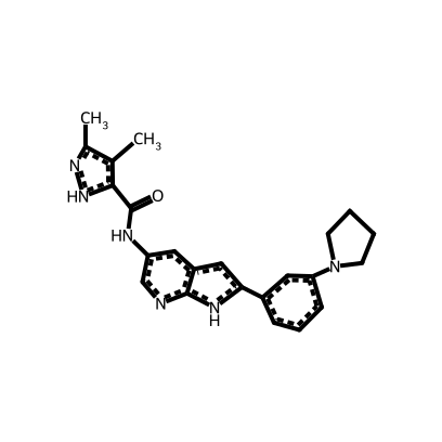 Cc1n[nH]c(C(=O)Nc2cnc3[nH]c(-c4cccc(N5CCCC5)c4)cc3c2)c1C